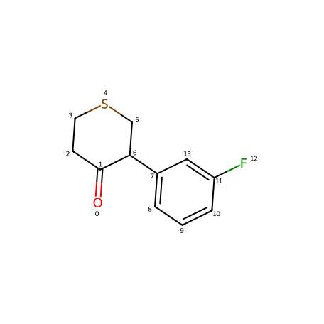 O=C1CCSCC1c1cccc(F)c1